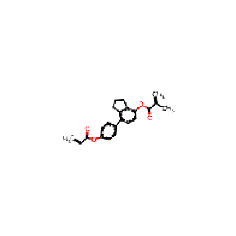 C=CC(=O)Oc1ccc(-c2ccc(OC(=O)C(=C)C)c3c2CCC3)cc1